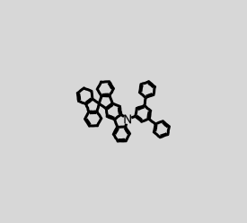 C1=CC2=C(CC1)C1(C3=C2C=CCC3)C2=C(C=CCC2)c2cc3c(cc21)c1ccccc1n3-c1cc(-c2ccccc2)cc(-c2ccccc2)c1